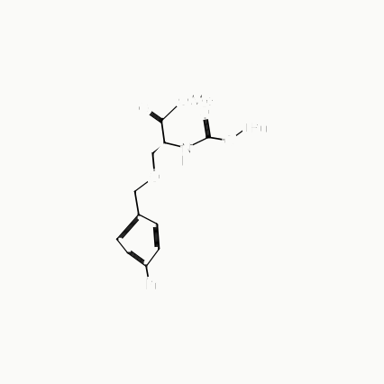 COC(=O)[C@H](COCc1ccc(Br)cc1)NC(=O)OC(C)(C)C